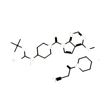 C[C@@H]1CCN(C(=O)CC#N)C[C@@H]1N(C)c1ncnc2c1ccn2C(=O)N1CCC(NC(O)OC(C)(C)C)CC1